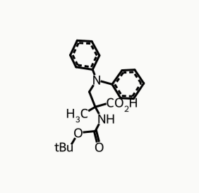 CC(C)(C)OC(=O)NC(C)(CN(c1ccccc1)c1ccccc1)C(=O)O